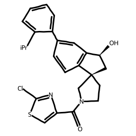 CC(C)c1ccccc1-c1ccc2c(c1)[C@@H](O)C[C@]21CCN(C(=O)c2csc(Cl)n2)C1